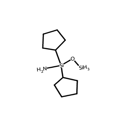 N[Si](O[SiH3])(C1CCCC1)C1CCCC1